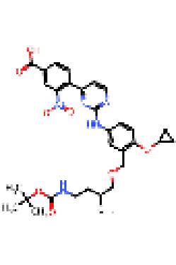 CC(CCNC(=O)OC(C)(C)C)COCc1cc(Nc2nccc(-c3ccc(C(=O)O)cc3[N+](=O)[O-])n2)ccc1OC1CC1